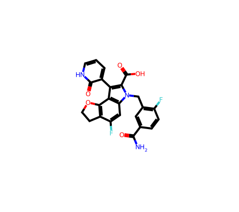 NC(=O)c1ccc(F)c(Cn2c(C(=O)O)c(-c3ccc[nH]c3=O)c3c4c(c(F)cc32)CCO4)c1